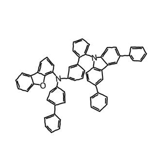 c1ccc(-c2ccc(N(c3cccc(-c4ccccc4-n4c5ccc(-c6ccccc6)cc5c5cc(-c6ccccc6)ccc54)c3)c3cccc4c3oc3ccccc34)cc2)cc1